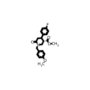 COC(=O)[C@@H]1CN(Cc2ccc(OC)cc2)C(=O)CC1c1ccc(F)cc1